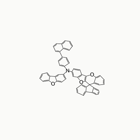 c1ccc2c(c1)Oc1c(oc3cc(N(c4ccc(-c5cccc6ccccc56)cc4)c4ccc5oc6ccccc6c5c4)ccc13)C21c2ccccc2-c2ccccc21